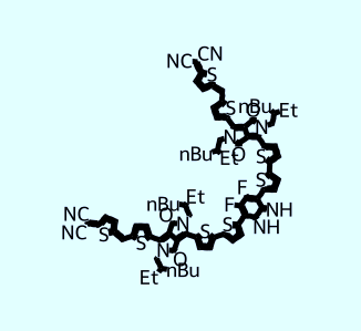 CCCCC(CC)CN1C(=O)C2=C(c3ccc(-c4ccc(C5=C(F)C(F)=C(c6ccc(-c7ccc(C8=C9C(=O)N(CC(CC)CCCC)C(c%10ccc(/C=c%11\ccc(=C(C#N)C#N)s%11)s%10)=C9C(=O)N8CC(CC)CCCC)s7)s6)C(=N)C5=N)s4)s3)N(CC(CC)CCCC)C(=O)C2=C1c1ccc(/C=c2\ccc(=C(C#N)C#N)s2)s1